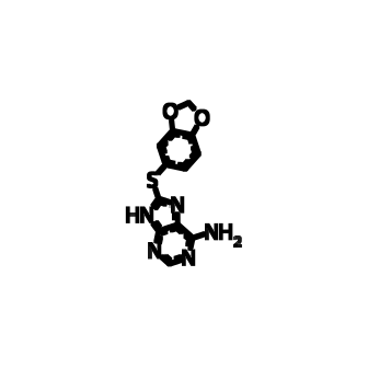 Nc1ncnc2[nH]c(Sc3ccc4c(c3)OCO4)nc12